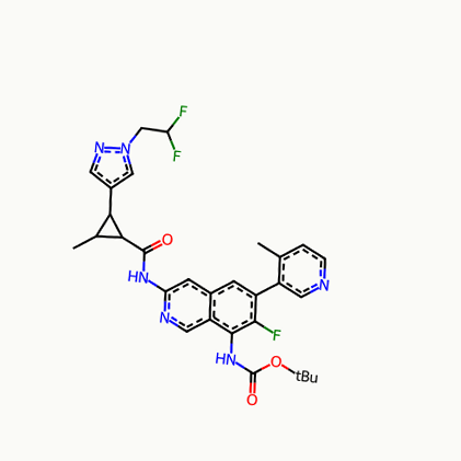 Cc1ccncc1-c1cc2cc(NC(=O)C3C(C)C3c3cnn(CC(F)F)c3)ncc2c(NC(=O)OC(C)(C)C)c1F